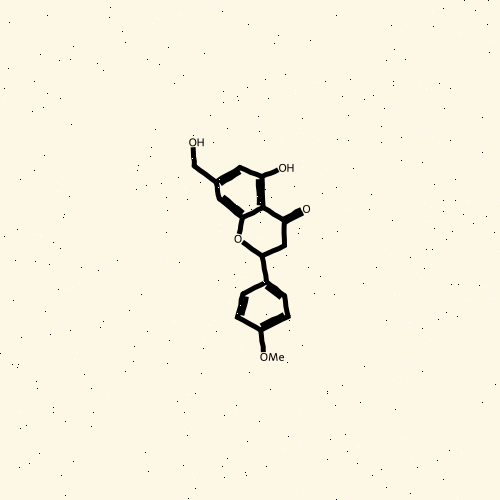 COc1ccc(C2CC(=O)c3c(O)cc(CO)cc3O2)cc1